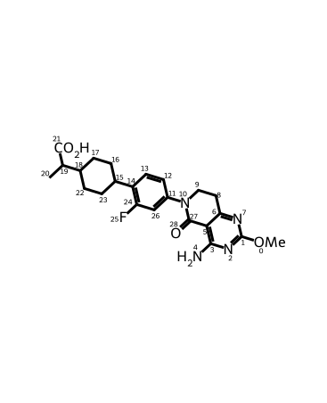 COc1nc(N)c2c(n1)CCN(c1ccc(C3CCC(C(C)C(=O)O)CC3)c(F)c1)C2=O